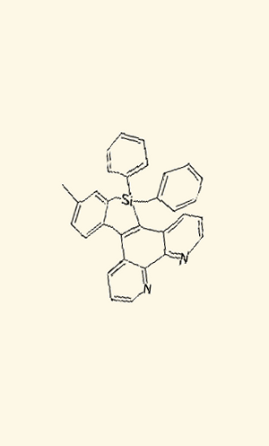 Cc1ccc2c(c1)[Si](c1ccccc1)(c1ccccc1)c1c-2c2cccnc2c2ncccc12